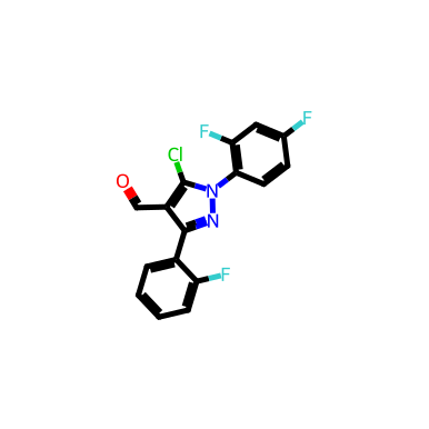 O=Cc1c(-c2ccccc2F)nn(-c2ccc(F)cc2F)c1Cl